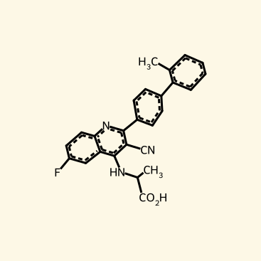 Cc1ccccc1-c1ccc(-c2nc3ccc(F)cc3c(NC(C)C(=O)O)c2C#N)cc1